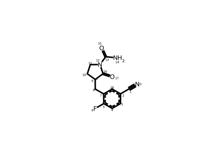 N#Cc1ccc(F)c(C[C]2CCN(C(N)=O)C2=O)c1